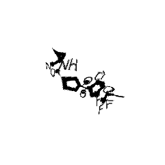 C[C@H](Oc1ccc(S(=O)(=O)[C@H]2CC[C@H](C(=O)NC3(C#N)CC3)C2)c(Cl)c1)C(F)(F)F